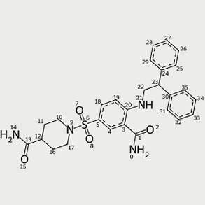 NC(=O)c1cc(S(=O)(=O)N2CCC(C(N)=O)CC2)ccc1NCC(c1ccccc1)c1ccccc1